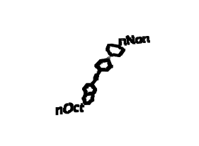 CCCCCCCCC[C@H]1CC[C@H](c2ccc(C#Cc3ccc4cc(CCCCCCCC)ccc4c3)cc2)CC1